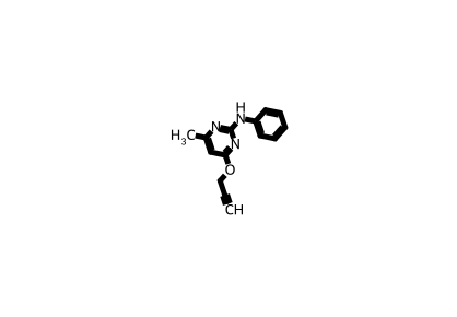 C#CCOc1cc(C)nc(Nc2ccccc2)n1